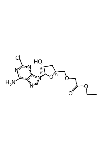 CCOC(=O)COC[C@@H]1C[C@@H](O)[C@H](n2cnc3c(N)nc(Cl)nc32)O1